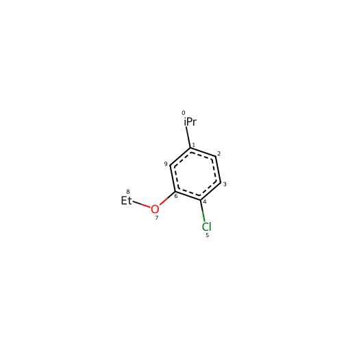 [CH2]C(C)c1ccc(Cl)c(OCC)c1